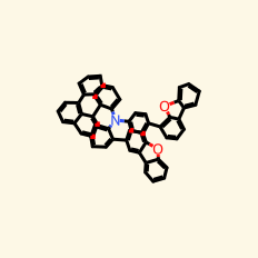 c1ccc(-c2cccc3cccc(-c4ccccc4N(c4ccc(-c5cccc6c5oc5ccccc56)cc4)c4ccccc4-c4ccc5oc6ccccc6c5c4)c23)cc1